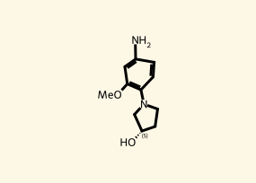 COc1cc(N)ccc1N1CC[C@H](O)C1